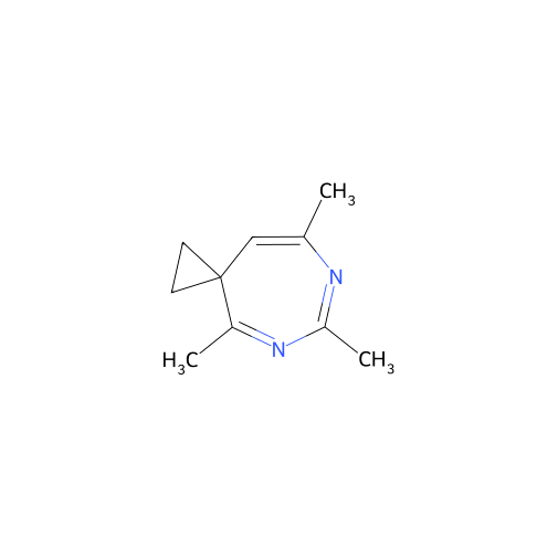 CC1=CC2(CC2)C(C)=NC(C)=N1